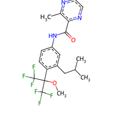 COC(c1ccc(NC(=O)c2nccnc2C)cc1CC(C)C)(C(F)(F)F)C(F)(F)F